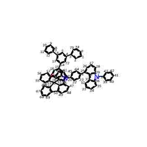 c1ccc(-c2cc(-c3ccccc3)cc(-c3cccc(N(c4ccc(-c5cccc6c5c5ccccc5n6-c5ccccc5)cc4)c4cccc5c4C4(c6ccccc6-c6ccccc64)c4ccccc4-5)c3)c2)cc1